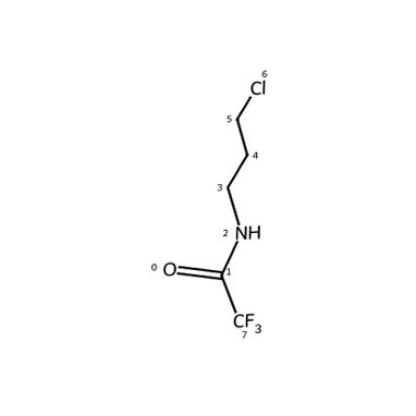 O=C(NCCCCl)C(F)(F)F